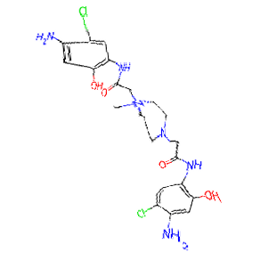 C[N+]1(CC(=O)Nc2cc(Cl)c(N)cc2O)CCN(CC(=O)Nc2cc(Cl)c(N)cc2O)CC1